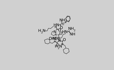 N=C(N)NCCC[C@]([C]=O)(C(=O)[C@@H]1CCCN1C(=O)[C@H](CCCCN)NC(=O)[C@@H](N)Cc1ccccc1)N(C(=O)[C@H](N)CC1CCCCC1)C(=O)[C@@H](N)CC1CCCCC1